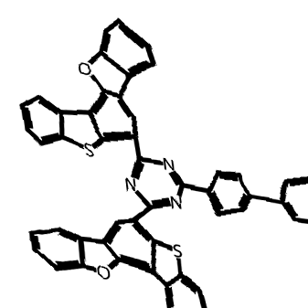 c1ccc(-c2ccc(-c3nc(-c4cc5c6ccccc6oc5c5c4sc4ccccc45)nc(-c4cc5c6ccccc6oc5c5c4sc4ccccc45)n3)cc2)cc1